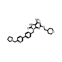 Nc1nc(OCC2CCOCC2)nc2c1[nH]c(=O)n2Cc1ccc(-c2ccc(CN3CCCC3)nc2)cc1